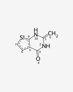 C=C1NC(=O)c2ccsc2N1